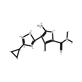 Cc1c(C(=O)N(C)C)sc(N)c1-c1nc(C2CC2)no1